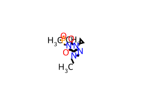 CCCn1cnc2c1c(=O)n(CP(C)(C)=O)c(=O)n2C1CC1